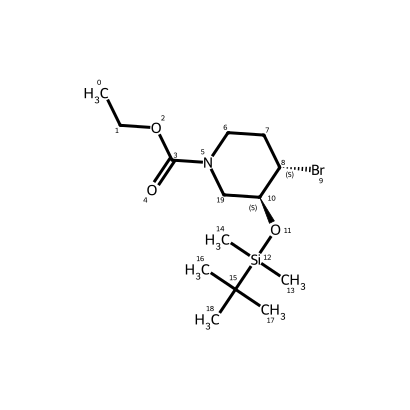 CCOC(=O)N1CC[C@H](Br)[C@@H](O[Si](C)(C)C(C)(C)C)C1